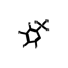 CC[N+](CC)(CC)c1cc(F)c(F)c(F)c1F